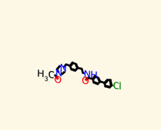 CC(=O)N1CCN(Cc2ccc(CCNC(=O)c3ccc(-c4ccc(Cl)cc4)cc3)cc2)CC1